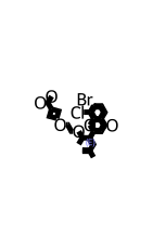 C=C(C)/C=C(/c1cc(=O)c2ccc(Br)c(Cl)c2o1)C(C)OCCOC1CC(C(=O)OC)C1